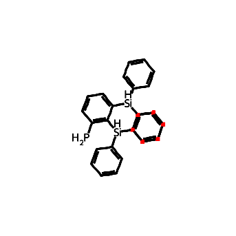 Pc1cccc([SiH](c2ccccc2)c2ccccc2)c1[SiH](c1ccccc1)c1ccccc1